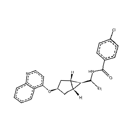 CCC(NC(=O)c1ccc(Cl)cc1)[C@H]1[C@@H]2C[C@@H](Oc3ccnc4ccccc34)C[C@@H]21